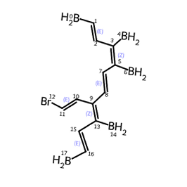 B\C=C\C(B)=C(B)/C=C/C(/C=C/Br)=C(B)/C=C/B